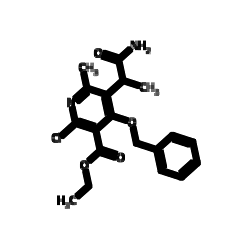 CCOC(=O)c1c(Cl)nc(C)c(C(C)C(N)=O)c1OCc1ccccc1